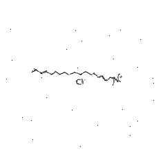 CCCCCCCCCCCCCCCC=CC[N+](C)(C)C.[Cl-]